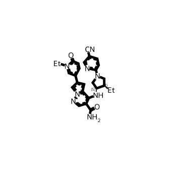 CC[C@@H]1CN(c2ccc(C#N)cn2)C[C@H]1Nc1c(C(N)=O)cnn2cc(-c3ccc(=O)n(CC)c3)cc12